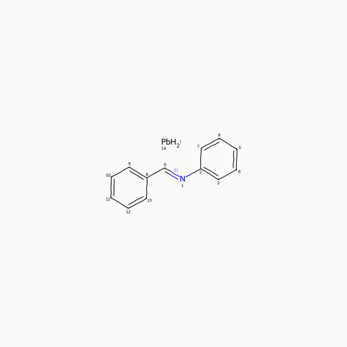 C(=N\c1ccccc1)/c1ccccc1.[PbH2]